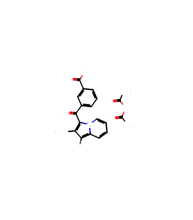 CC(=O)OC(C)=O.Cc1c(Br)c2ccccn2c1C(=O)c1cccc(C(=O)O)c1